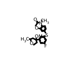 COC1(c2cc(F)cc(Sc3ccc4c(c3)OCC(=O)N4C)c2)CCOC(C)C1